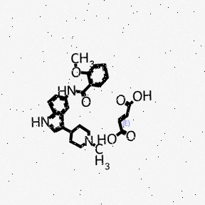 COc1ccccc1C(=O)Nc1ccc2[nH]cc(C3CCN(C)CC3)c2c1.O=C(O)/C=C/C(=O)O